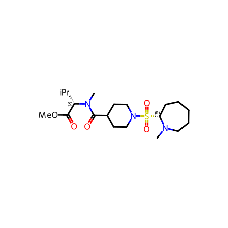 COC(=O)[C@H](C(C)C)N(C)C(=O)C1CCN(S(=O)(=O)[C@@H]2CCCCCN2C)CC1